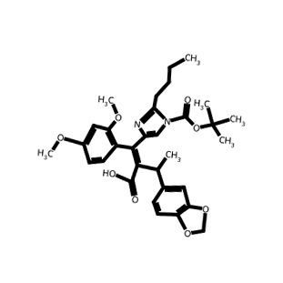 CCCCc1nc(C(=C(C(=O)O)C(C)c2ccc3c(c2)OCO3)c2ccc(OC)cc2OC)cn1C(=O)OC(C)(C)C